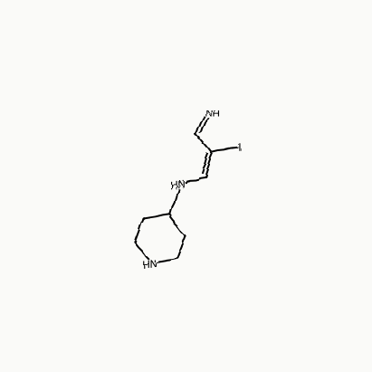 N=C/C(I)=C\NC1CCNCC1